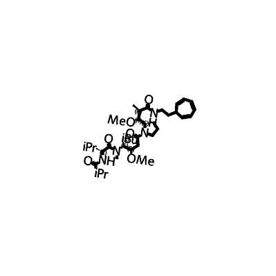 CC[C@H](C)[C@@H]([C@@H](CC(=O)N1CCC[C@H]1[C@H](OC)[C@@H](C)C(=O)NCCC1C=CC=CC=C1)OC)N(C)C(=O)[C@H](NC(=O)C(C)C)C(C)C